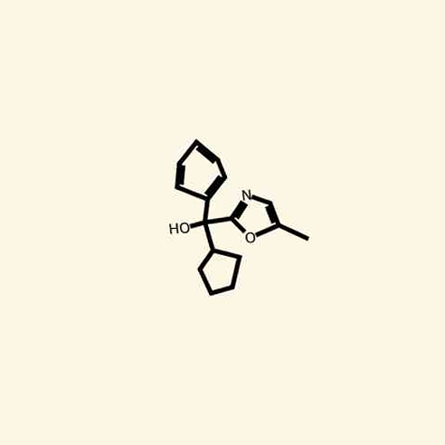 Cc1cnc(C(O)(c2ccccc2)C2CCCC2)o1